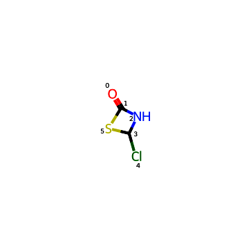 O=C1NC(Cl)S1